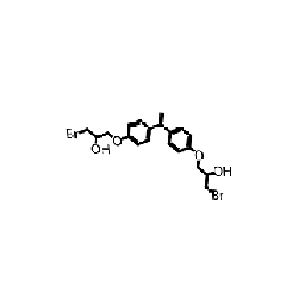 CC(c1ccc(OCC(O)CBr)cc1)c1ccc(OCC(O)CBr)cc1